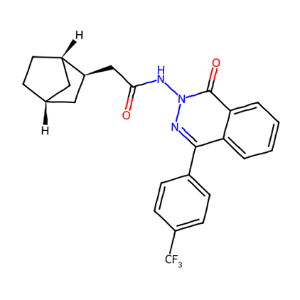 O=C(C[C@H]1C[C@@H]2CC[C@H]1C2)Nn1nc(-c2ccc(C(F)(F)F)cc2)c2ccccc2c1=O